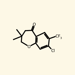 CC1(C)COc2cc(Cl)c(C(F)(F)F)cc2C(=O)C1